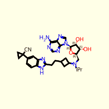 CC(C)N(C[C@H]1O[C@@H](n2cnc3c(N)ncnc32)[C@H](O)[C@@H]1O)C1CC(CCc2nc3cc(C4(C#N)CC4)ccc3[nH]2)C1